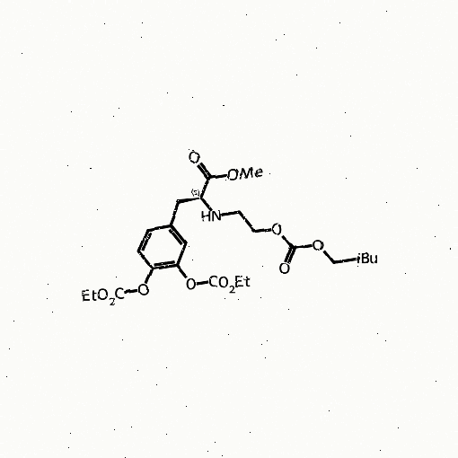 CCOC(=O)Oc1ccc(C[C@H](NCCOC(=O)OCC(C)CC)C(=O)OC)cc1OC(=O)OCC